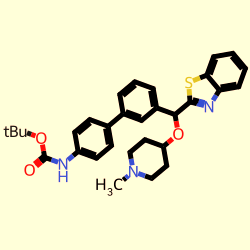 CN1CCC(OC(c2cccc(-c3ccc(NC(=O)OC(C)(C)C)cc3)c2)c2nc3ccccc3s2)CC1